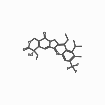 CCc1c2c(nc3cc(C(F)(F)F)c(C)c(C(C)C)c13)-c1cc3c(c(=O)n1C2)COC(=O)[C@]3(O)CC